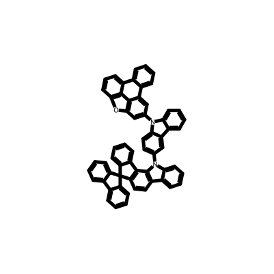 c1ccc2c(c1)-c1ccccc1C21c2ccccc2-c2c1ccc1c3ccccc3n(-c3ccc4c(c3)c3ccccc3n4-c3cc4oc5cccc6c7ccccc7c(c3)c4c56)c21